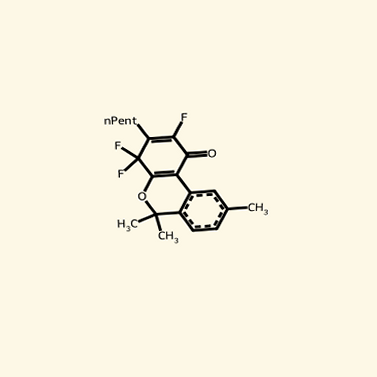 CCCCCC1=C(F)C(=O)C2=C(OC(C)(C)c3ccc(C)cc32)C1(F)F